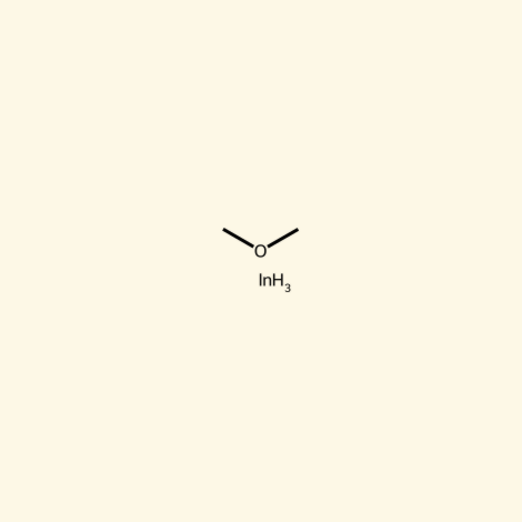 COC.[InH3]